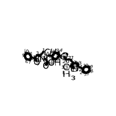 CC/C(=C/C(=O)c1ccccc1)N[C@@H](Cc1ccc(OCCc2cc(-c3ccccc3)oc2C)cc1)C(=O)O